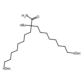 CCCCCCCCCCCCCCCCCCC(CCCC)(CCCCCCCCCCCCCCCCCC)C(N)=O